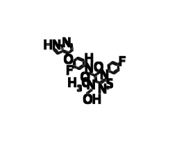 CN(CCO)c1c(C(=O)Nc2ccc(Oc3ccnc4[nH]ccc34)c(F)c2)c(=O)n(-c2ccc(F)cc2)c2scnc12